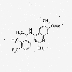 COc1cc2nc(C)nc(N[C@H](C)c3cccc(C(F)(F)F)c3C)c2cc1C